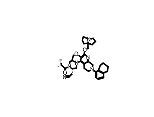 C[C@H](F)C(=O)N1CC2COc3c(OCC45CCCN4CCC5)nc4c(c3N2C[C@@H]1CC#N)CCN(c1cccc2c1CCCC2)C4